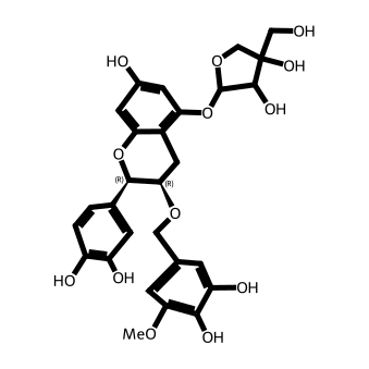 COc1cc(CO[C@@H]2Cc3c(OC4OCC(O)(CO)C4O)cc(O)cc3O[C@@H]2c2ccc(O)c(O)c2)cc(O)c1O